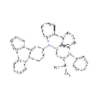 CC1(C)c2ccccc2-c2ccc(N(C3=CCC4C(=C3)c3ccccc3-c3ccccc34)c3ccccc3-c3ccccc3)cc21